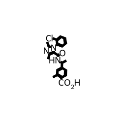 Cc1cc(C(C)NC(=O)c2c(C)nc(C)n2-c2ccccc2Cl)ccc1C(=O)O